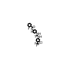 O=C(Nc1ccc(NC(=S)Nc2ccc(C(F)(F)F)c(Cl)c2)cc1)c1ccccc1F